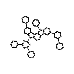 c1ccc(-c2cccc(-c3ccc4c(c3)c3ccc5c(c6cc(-c7ccccc7)ccc6n5-c5nc(-c6ccccc6)nc(-c6ccccc6)n5)c3n4-c3ccccc3)c2)cc1